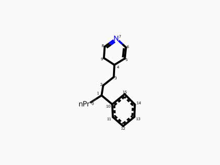 CCCC(CCC1C=CN=CC1)c1ccccc1